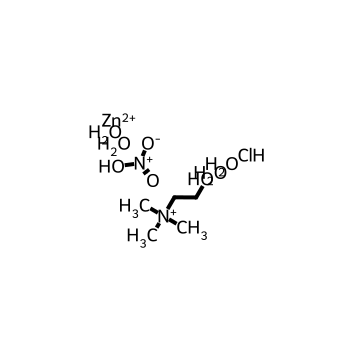 C[N+](C)(C)CCO.Cl.O.O.O.O.O=[N+]([O-])O.[Zn+2]